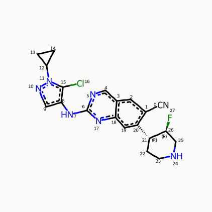 N#Cc1cc2cnc(Nc3cnn(C4CC4)c3Cl)nc2cc1[C@H]1CCNC[C@@H]1F